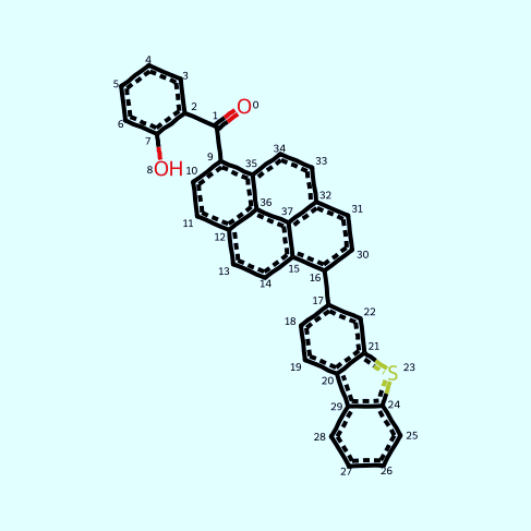 O=C(c1ccccc1O)c1ccc2ccc3c(-c4ccc5c(c4)sc4ccccc45)ccc4ccc1c2c43